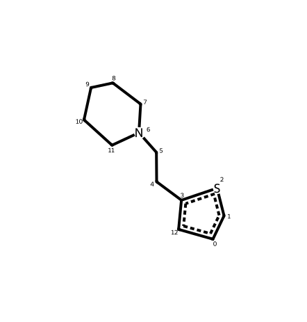 c1csc(CCN2CCCCC2)c1